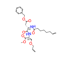 C=CCCCCCC(=O)N[C@@H](CC(=O)OCc1ccccc1)C(=O)N[C@@H](COCC=C)C(=O)OC